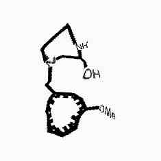 COc1cccc(CN2CCNC2O)c1